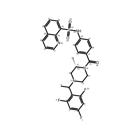 CC(c1c(F)cc(F)cc1F)N1CCN(C(=O)c2ccc(NS(=O)(=O)c3cccc4cccnc34)cc2)[C@@H](C)C1